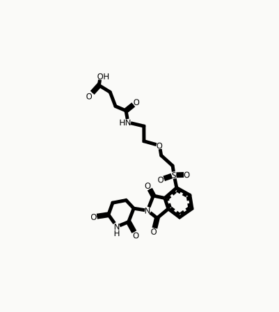 O=C(O)CCC(=O)NCCOCCS(=O)(=O)c1cccc2c1C(=O)N(C1CCC(=O)NC1=O)C2=O